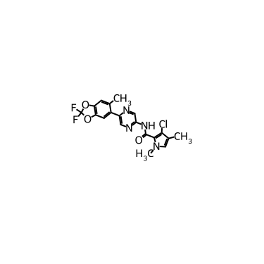 Cc1cc2c(cc1-c1cnc(NC(=O)c3c(Cl)c(C)cn3C)cn1)OC(F)(F)O2